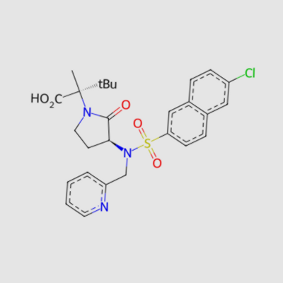 CC(C)(C)[C@@](C)(C(=O)O)N1CC[C@H](N(Cc2ccccn2)S(=O)(=O)c2ccc3cc(Cl)ccc3c2)C1=O